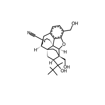 CC(C)(C)C(C)(O)[C@H]1C[C@@]23CC[C@]1(CO)[C@@H]1Oc4c(CO)ccc5c4[C@@]12CCN(C#N)[C@@H]3C5